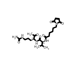 CC(=O)[C@H](CCCNC(N)=O)NC(=O)[C@@H](NC(=O)CCCCCN1C(=O)C=CC1=O)C(C)C